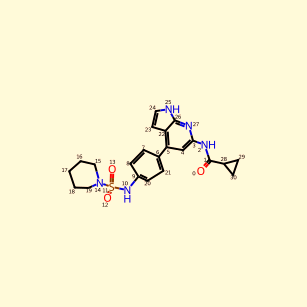 O=C(Nc1cc(-c2ccc(NS(=O)(=O)N3CCCCC3)cc2)c2cc[nH]c2n1)C1CC1